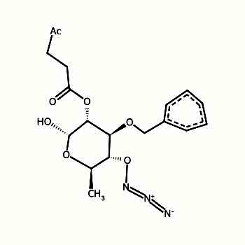 CC(=O)CCC(=O)O[C@@H]1[C@@H](OCc2ccccc2)[C@H](ON=[N+]=[N-])[C@@H](C)O[C@@H]1O